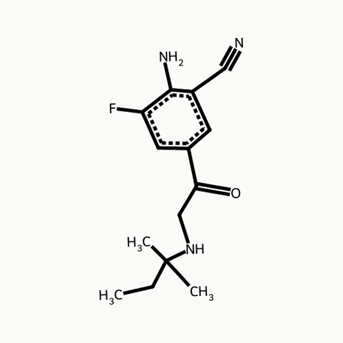 CCC(C)(C)NCC(=O)c1cc(F)c(N)c(C#N)c1